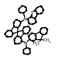 CC1(C)c2ccccc2-c2ccc(N(c3ccccc3)c3cccc4c3-c3ccccc3C43c4ccccc4-c4ccc(N(c5ccccc5)c5cccc6c5sc5ccccc56)cc43)cc21